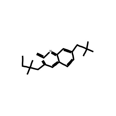 C=C/N=C1/C=C(CC(C)(C)C)C=C/C1=C/C(=C)CC(C)(C)CC